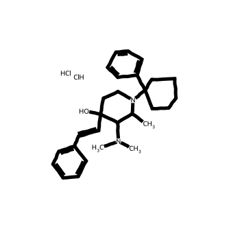 CC1C(N(C)C)C(O)(C=Cc2ccccc2)CCN1C1(c2ccccc2)CCCCC1.Cl.Cl